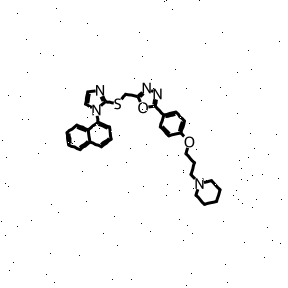 c1ccc2c(-n3ccnc3SCc3nnc(-c4ccc(OCCCN5CCCCC5)cc4)o3)cccc2c1